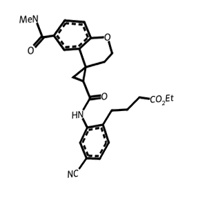 CCOC(=O)CCCc1ccc(C#N)cc1NC(=O)C1CC12CCOc1ccc(C(=O)NC)cc12